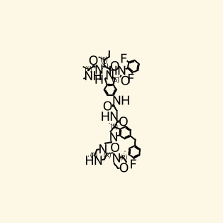 CC[C@H](C)[C@H](NC(=O)[C@H](C)NC)C(=O)N1Cc2ccc(NC(=O)CNC(=O)[C@]3(C)CN(C(=O)CN4C[C@@H](C)NC[C@@H]4CN4CCOC[C@H]4C)c4cc(Cc5ccc(F)cc5)ccc43)cc2[C@H]1C(=O)Nc1c(F)cccc1F